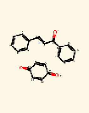 O=C(/C=C/c1ccccc1)c1ccccc1.O=C1C=CC(=O)C=C1